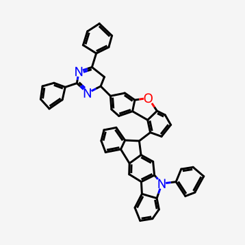 c1ccc(C2=NC(c3ccccc3)=NC(c3ccc4c(c3)oc3cccc(C5c6ccccc6-c6cc7c8ccccc8n(-c8ccccc8)c7cc65)c34)C2)cc1